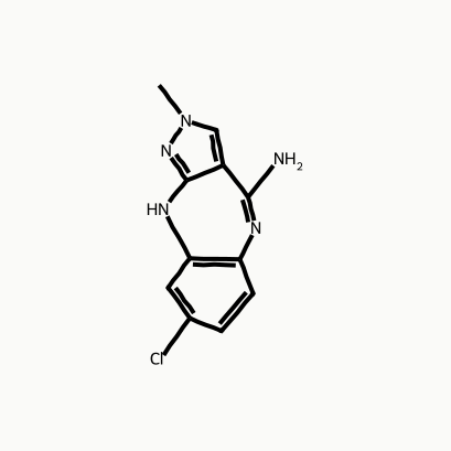 Cn1cc2c(n1)Nc1cc(Cl)ccc1N=C2N